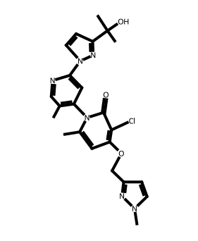 Cc1cnc(-n2ccc(C(C)(C)O)n2)cc1-n1c(C)cc(OCc2ccn(C)n2)c(Cl)c1=O